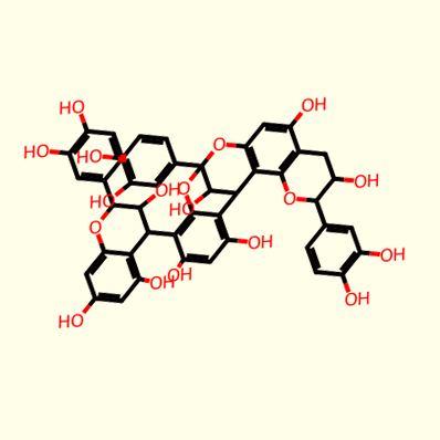 Oc1cc(O)c2c(c1)OC(c1ccc(O)c(O)c1)C(O)C2c1c(O)cc(O)c2c1OC1(c3ccc(O)c(O)c3)Oc3cc(O)c4c(c3C2C1O)OC(c1ccc(O)c(O)c1)C(O)C4